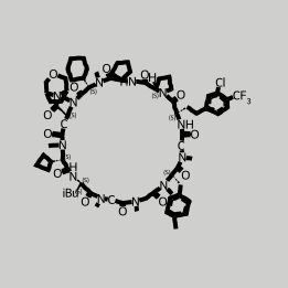 CC[C@H](C)[C@@H]1NC(=O)[C@H](C2CCC2)N(C)C(=O)C[C@@H](C(=O)N2C3CCC2COC3)N(C)C(=O)[C@H](C2CCCCC2)N(C)C(=O)C2(CCCC2)NC(=O)[C@@H]2CCCN2C(=O)[C@H](CCc2ccc(C(F)(F)F)c(Cl)c2)NC(=O)CN(C)C(=O)[C@H](Cc2ccc(C)cc2)N(C)C(=O)CN(C)C(=O)CN(C)C1=O